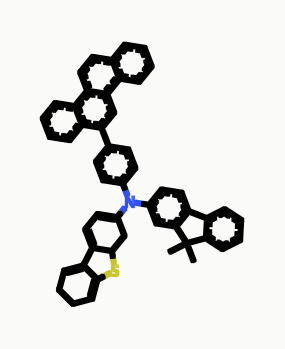 CC1(C)c2ccccc2-c2ccc(N(C3=CC=C4C5=CCCC=C5SC4C3)c3ccc(-c4cc5c6ccccc6ccc5c5ccccc45)cc3)cc21